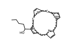 CCCCC(O)c1cc2cc3nc(cc4ccc(cc5nc(cc1[nH]2)C=C5)[nH]4)C=C3